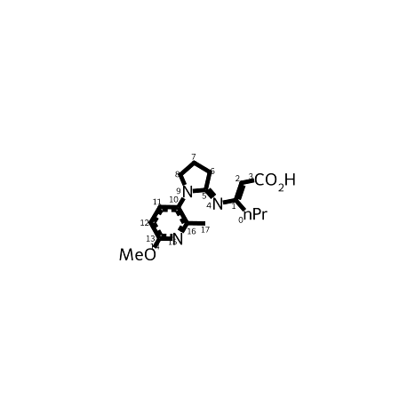 CCCC(=CC(=O)O)N=C1CCCN1c1ccc(OC)nc1C